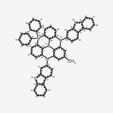 Cc1cc2c3c(c1)N(c1ccc4c(c1)sc1ccccc14)c1cccc4c1B3c1c(cccc1[Si]4(c1ccccc1)c1ccccc1)N2c1ccc2c(c1)sc1ccccc12